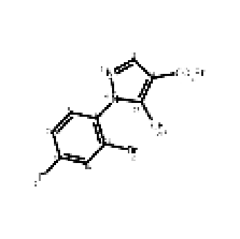 CCOC(=O)c1cnn(-c2ccc(F)cc2Br)c1C(F)(F)F